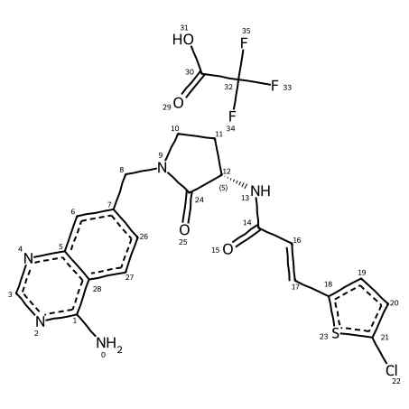 Nc1ncnc2cc(CN3CC[C@H](NC(=O)C=Cc4ccc(Cl)s4)C3=O)ccc12.O=C(O)C(F)(F)F